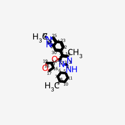 Cc1nc(NC2CCC(C)CC2)nc(O[C@@H]2CCOC2)c1-c1ccc2cn(C)nc2c1